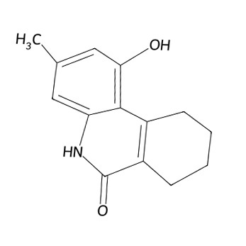 Cc1cc(O)c2c3c(c(=O)[nH]c2c1)CCCC3